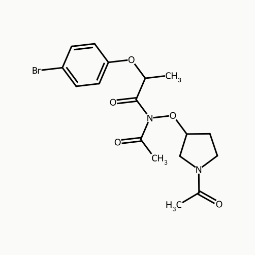 CC(=O)N1CCC(ON(C(C)=O)C(=O)C(C)Oc2ccc(Br)cc2)C1